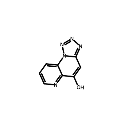 Oc1cc2nnnn2c2cccnc12